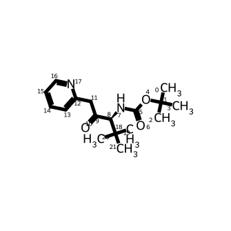 CC(C)(C)OC(=O)N[C@H](C(=O)Cc1ccccn1)C(C)(C)C